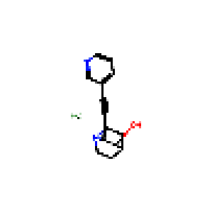 Cl.OC1C2CCN(CC2)C1C#Cc1cccnc1